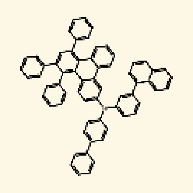 c1ccc(-c2ccc(N(c3cccc(-c4cccc5ccccc45)c3)c3ccc4c(c3)c3ccccc3c3c(-c5ccccc5)cc(-c5ccccc5)c(-c5ccccc5)c43)cc2)cc1